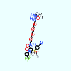 CNC(=O)NCCOCCOCCOCCOCCNC(=O)c1cc([S+]([O-])c2ccc(C#N)cc2)c(C)n(-c2cccc(C(F)(F)F)c2)c1=O